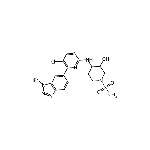 CC(C)n1nnc2ccc(-c3nc(NC4CCN(S(C)(=O)=O)CC4O)ncc3Cl)cc21